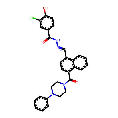 O=C(N/N=C/c1ccc(C(=O)N2CCN(c3ccccc3)CC2)c2ccccc12)c1ccc(O)c(Cl)c1